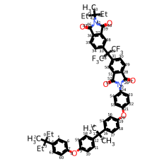 CCC(C)(CC)c1ccc(Oc2ccc(C(C)(C)c3ccc(Oc4ccc(N5C(=O)c6ccc(C(c7ccc8c(c7)C(=O)N(C(C)(CC)CC)C8=O)(C(F)(F)F)C(F)(F)F)cc6C5=O)cc4)cc3)cc2)cc1